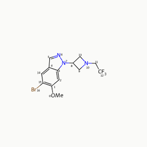 COc1cc2c(cnn2C2CN(CC(F)(F)F)C2)cc1Br